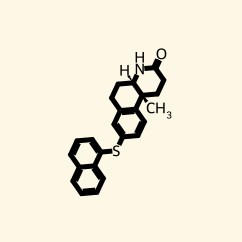 C[C@]12CCC(=O)N[C@@H]1CCc1cc(Sc3cccc4ccccc34)ccc12